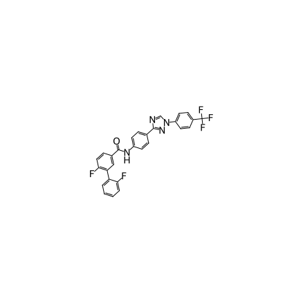 O=C(Nc1ccc(-c2ncn(-c3ccc(C(F)(F)F)cc3)n2)cc1)c1ccc(F)c(-c2ccccc2F)c1